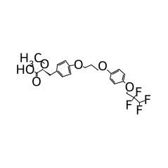 CO[C@@H](Cc1ccc(OCCCOc2ccc(OCC(F)(F)C(F)F)cc2)cc1)C(=O)O